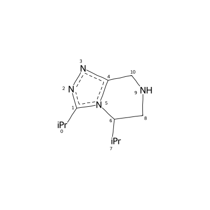 CC(C)c1nnc2n1C(C(C)C)CNC2